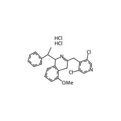 COc1cccc2c1CC(Cc1c(Cl)cncc1Cl)=NC2C(C)c1ccccc1.Cl.Cl